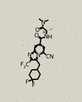 C[C@H](NC(=O)c1cc(C#N)n2c(CC3CCC(F)(F)CC3)c(C(F)(F)F)nc2c1)C(=O)N(C)C